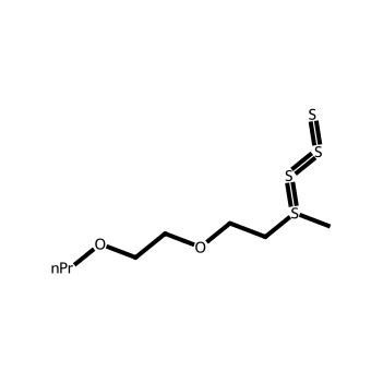 CCCOCCOCCS(C)=S=S=S